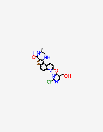 CC1CNc2c(sc3ccc4nc(Oc5nc(Cl)ncc5CO)ccc4c23)C(=O)N1